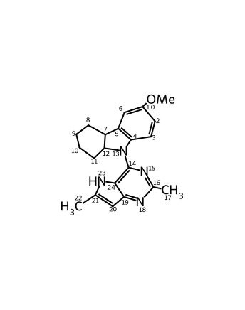 COc1ccc2c(c1)C1CCCCC1N2c1nc(C)nc2cc(C)[nH]c12